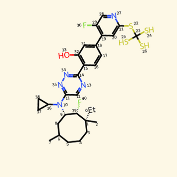 CC[C@]1(C)CCCC(C)C[C@H](N(c2cnc(-c3ccc(-c4cc(SC(S)(S)S)ncc4F)cc3O)nn2)C2CC2)[C@@H]1F